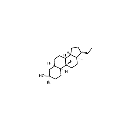 CC=C1CC[C@H]2[C@@H]3CC[C@@H]4C[C@@](O)(CC)CC[C@@H]4[C@H]3CC[C@]12C